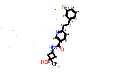 O=C(NC1CC(O)(C(F)(F)F)C1)c1ccc(CCc2cccc(F)c2)nc1